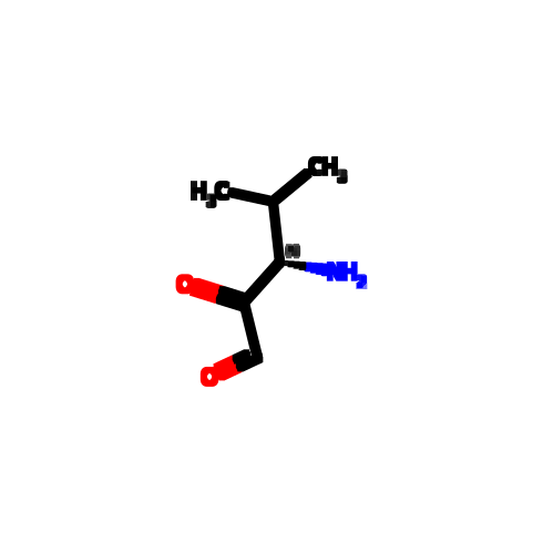 CC(C)[C@H](N)C(=O)C=O